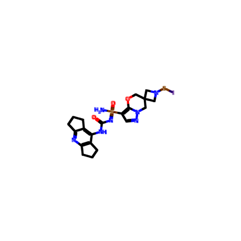 NS(=O)(=NC(=O)Nc1c2c(nc3c1CCC3)CCC2)c1cnn2c1OCC1(CN(SI)C1)C2